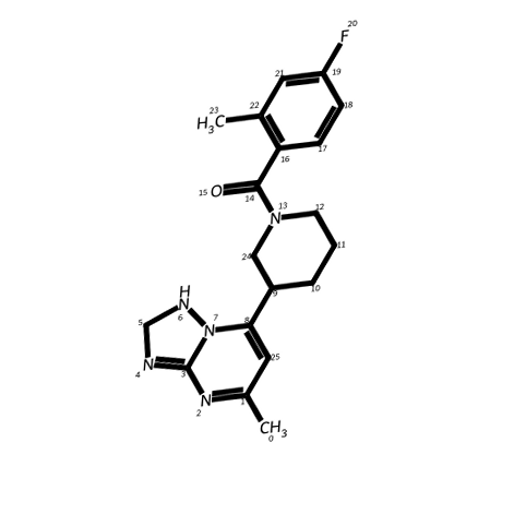 CC1=NC2=NCNN2C(C2CCCN(C(=O)c3ccc(F)cc3C)C2)=C1